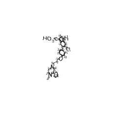 CN1CCN(CCCOc2ccc(-c3cc4c(C(=O)O)c[nH]c4cc3Cl)cc2)CC1=O